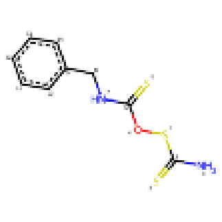 NC(=S)SOC(=S)NCc1ccccc1